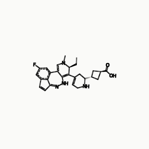 CC[C@H]1C(C2=CCNC([C@H]3C[C@H](C(=O)O)C3)C2)=C2NN=C3C=Cc4cc(F)cc(c43)C2=CN1C